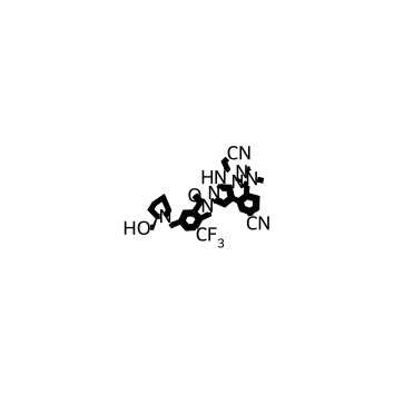 Cn1cnnc1-c1ccc(C#N)cc1-c1cc(NCCC#N)nc(N2Cc3c(cc(CN4CCCC[C@@H]4CO)cc3C(F)(F)F)C2=O)c1